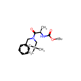 C[C@@H](NC(=O)OC(C)(C)C)C(=O)N(Cc1ccccc1)C[Si](C)(C)C